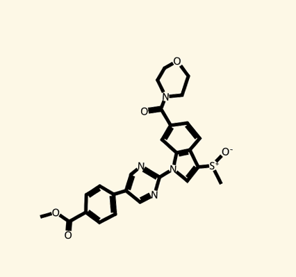 COC(=O)c1ccc(-c2cnc(-n3cc([S+](C)[O-])c4ccc(C(=O)N5CCOCC5)cc43)nc2)cc1